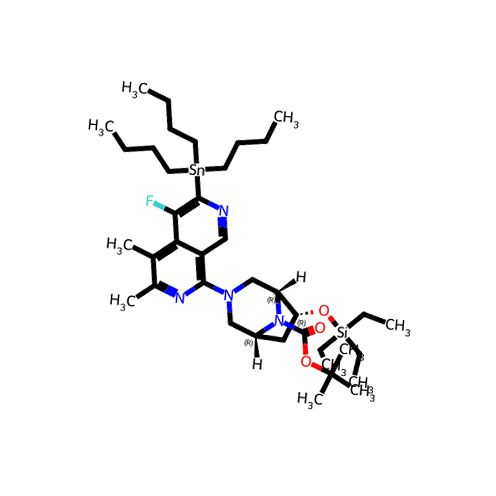 CCC[CH2][Sn]([CH2]CCC)([CH2]CCC)[c]1ncc2c(N3C[C@H]4C[C@@H](O[Si](CC)(CC)CC)[C@@H](C3)N4C(=O)OC(C)(C)C)nc(C)c(C)c2c1F